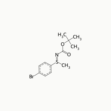 CS(=NC(=O)OC(C)(C)C)c1ccc(Br)cc1